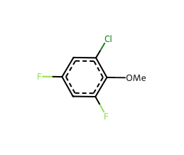 COc1c(F)cc(F)cc1Cl